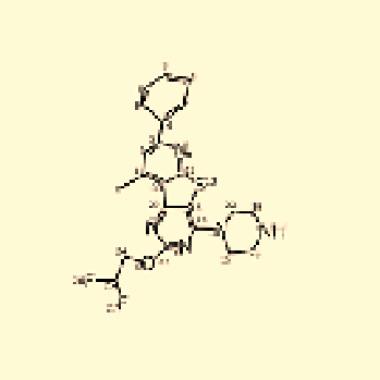 Cc1cc(-c2ccccc2)nc2sc3c(N4CCNCC4)nc(OCC(F)F)nc3c12